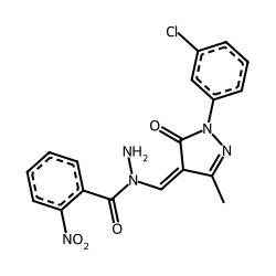 CC1=NN(c2cccc(Cl)c2)C(=O)C1=CN(N)C(=O)c1ccccc1[N+](=O)[O-]